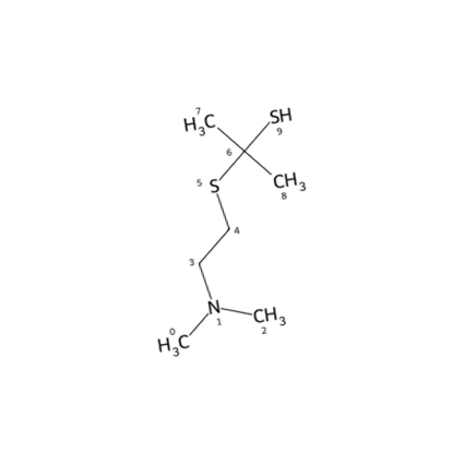 CN(C)CCSC(C)(C)S